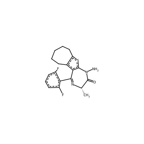 C[C@@H]1N=C(c2c(F)cccc2F)c2c(sc3c2CCCCC3)N(N)C1=O